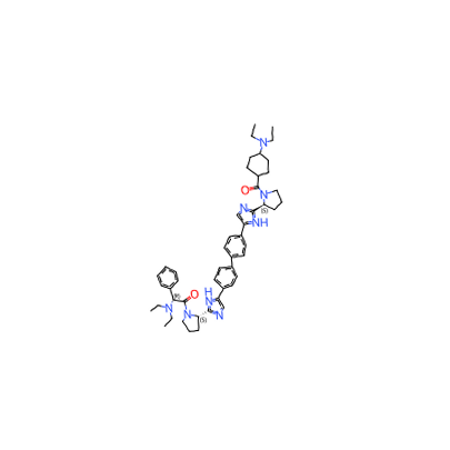 CCN(CC)C1CCC(C(=O)N2CCC[C@H]2c2ncc(-c3ccc(-c4ccc(-c5cnc([C@@H]6CCCN6C(=O)[C@@H](c6ccccc6)N(CC)CC)[nH]5)cc4)cc3)[nH]2)CC1